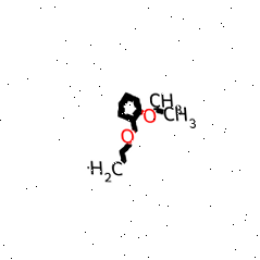 [CH2]CCCOCc1ccccc1OC(C)C